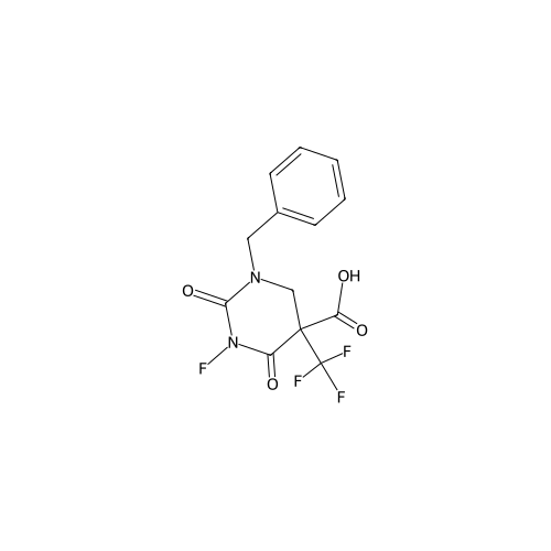 O=C1N(Cc2ccccc2)CC(C(=O)O)(C(F)(F)F)C(=O)N1F